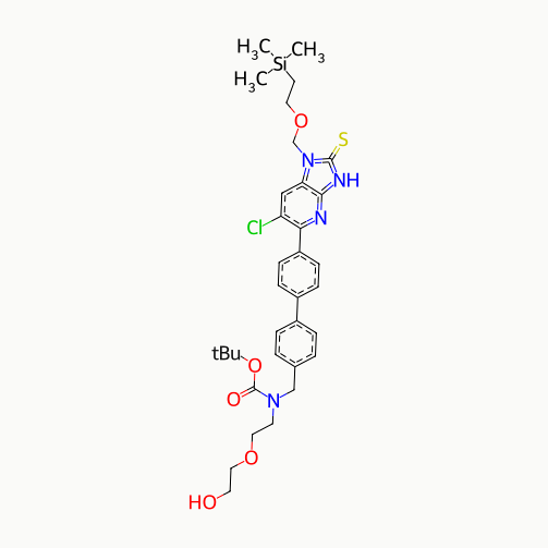 CC(C)(C)OC(=O)N(CCOCCO)Cc1ccc(-c2ccc(-c3nc4[nH]c(=S)n(COCC[Si](C)(C)C)c4cc3Cl)cc2)cc1